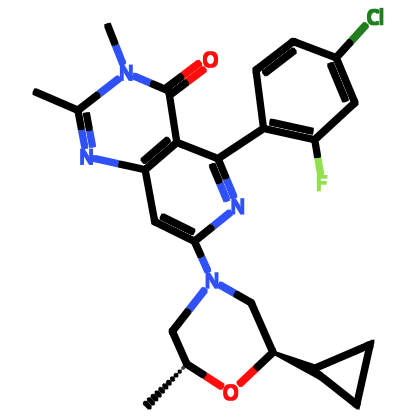 Cc1nc2cc(N3C[C@@H](C)O[C@H](C4CC4)C3)nc(-c3ccc(Cl)cc3F)c2c(=O)n1C